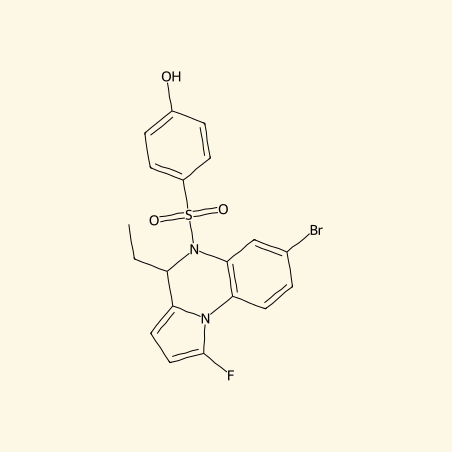 CCC1c2ccc(F)n2-c2ccc(Br)cc2N1S(=O)(=O)c1ccc(O)cc1